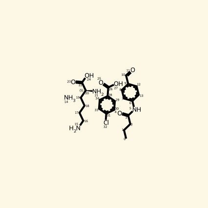 CCCC(=O)Nc1ccc(C=O)cc1.N.NCCCC[C@H](N)C(=O)O.O=C(O)c1ccc(Cl)cc1